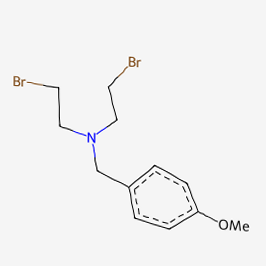 COc1ccc(CN(CCBr)CCBr)cc1